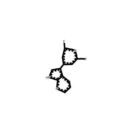 Fc1cc(-c2c[nH]c3ncccc23)cc(F)n1